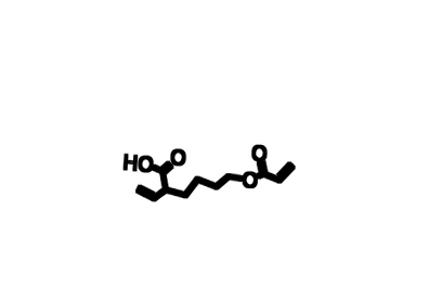 C=CC(=O)OCCCCC(C=C)C(=O)O